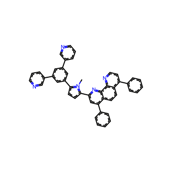 Cn1c(-c2cc(-c3cccnc3)cc(-c3cccnc3)c2)ccc1-c1cc(-c2ccccc2)c2ccc3c(-c4ccccc4)ccnc3c2n1